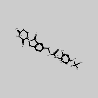 O=C1CCC(N2Cc3ccc(COC(=O)Nc4ccc(OC(F)(F)F)cc4F)cc3C2=O)C(=O)N1